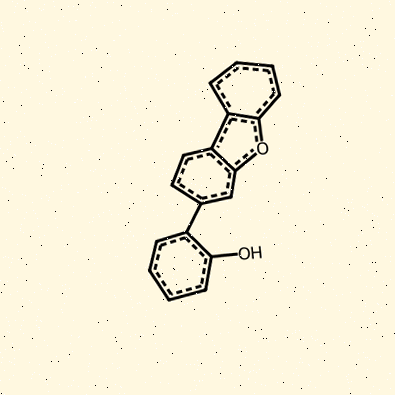 Oc1ccccc1-c1ccc2c(c1)oc1ccccc12